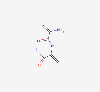 C=C(N)C(=O)NC(=C)C(=O)I